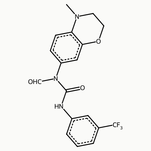 CN1CCOc2cc(N(C=O)C(=O)Nc3cccc(C(F)(F)F)c3)ccc21